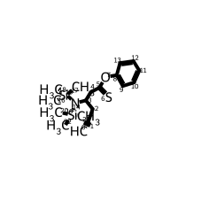 C#CCC(CC(=S)Oc1ccccc1)N([Si](C)(C)C)[Si](C)(C)C